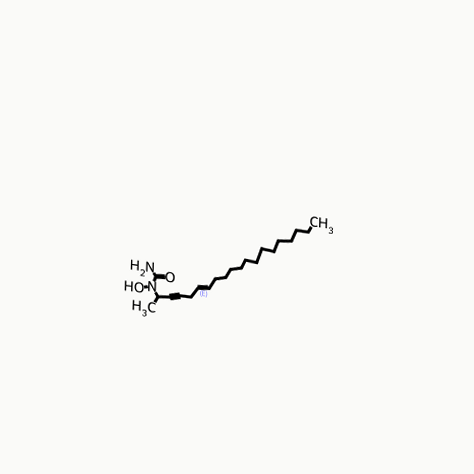 CCCCCCCCCCCCC/C=C/CC#CC(C)N(O)C(N)=O